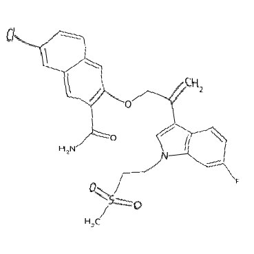 C=C(COc1cc2ccc(Cl)cc2cc1C(N)=O)c1cn(CCS(C)(=O)=O)c2cc(F)ccc12